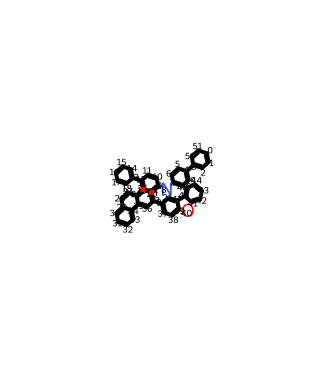 c1ccc(-c2ccc(N(c3ccc(-c4ccccc4)cc3)c3c(-c4ccc5ccc6ccccc6c5c4)ccc4oc5ccccc5c34)cc2)cc1